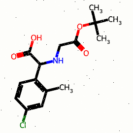 Cc1cc(Cl)ccc1C(NCC(=O)OC(C)(C)C)C(=O)O